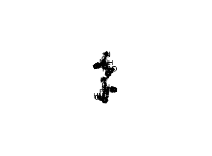 C[C@@H]1CN(C)[C@@H]1COc1nc(N2CC3CCC(C2)N3)c2cnc(-c3[nH]c(=O)cc4cc(C[C@@H]5CN(C)[C@@H]5COc5nc(N6CC7CCC(C6)N7)c6cnc(-c7[nH]c(=O)cc8cccc(F)c78)c(F)c6n5)ccc34)c(F)c2n1